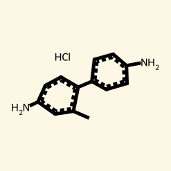 Cc1cc(N)ccc1-c1ccc(N)cc1.Cl